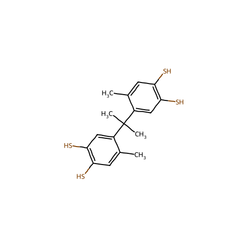 Cc1cc(S)c(S)cc1C(C)(C)c1cc(S)c(S)cc1C